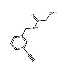 C#Cc1cccc(CNC(=O)COC)n1